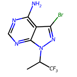 CC(n1nc(Br)c2c(N)ncnc21)C(F)(F)F